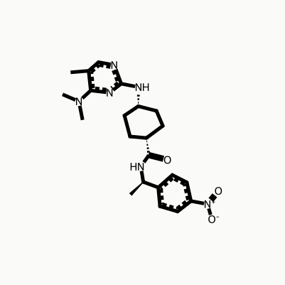 Cc1cnc(N[C@H]2CC[C@@H](C(=O)N[C@H](C)c3ccc([N+](=O)[O-])cc3)CC2)nc1N(C)C